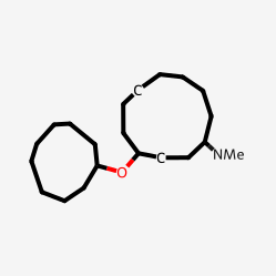 CNC1CCCCCCCC(OC2CCCCCCCC2)CC1